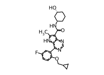 Cc1[nH]c2c(-c3cc(F)ccc3OCC3CC3)ncnc2c1C(=O)N[C@@H]1CCC[C@@H](O)C1